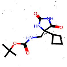 CC(C)(C)OC(=O)NC[C@@]1(C2CCC2)NC(=O)NC1=O